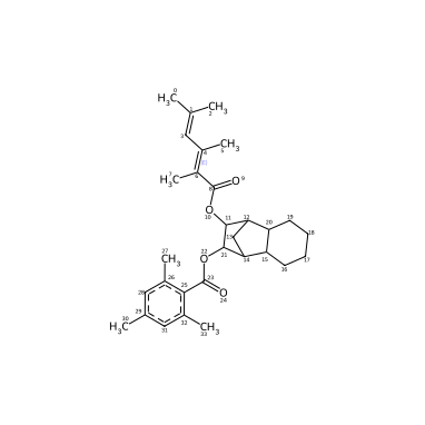 CC(C)=C/C(C)=C(\C)C(=O)OC1C2CC(C3CCCCC32)C1OC(=O)c1c(C)cc(C)cc1C